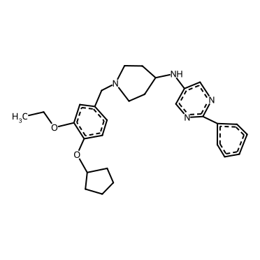 CCOc1cc(CN2CCC(Nc3cnc(-c4ccccc4)nc3)CC2)ccc1OC1CCCC1